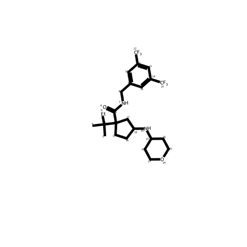 CCC(C)(C)C1(C(=O)NCc2cc(C(F)(F)F)cc(C(F)(F)F)c2)CCC(NC2CCOCC2)C1